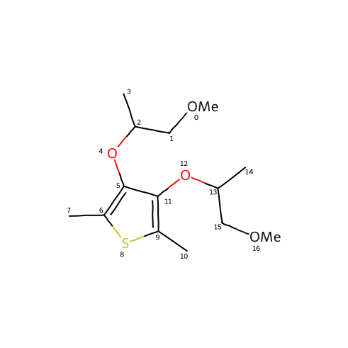 COCC(C)Oc1c(C)sc(C)c1OC(C)COC